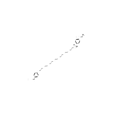 O=C(O)c1ccc(OCCOCCOCCOCCOCCOCCOCCNS(=O)(=O)c2ccc(NC(=O)C(F)(F)F)cc2)cc1